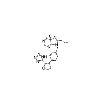 CCCC1=NC2(Cl)C(C)=NCN=C2N1Cc1ccc(-c2ccoc2-c2nnn[nH]2)cc1